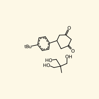 CC(C)(C)c1ccc(C2CC(=O)CC(=O)C2)cc1.CC(CO)(CO)CO